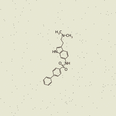 CN(C)CCc1c[nH]c2cc(NS(=O)(=O)c3ccc(-c4ccccc4)cc3)ccc12